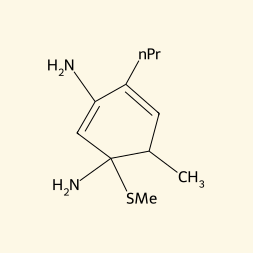 CCCC1=CC(C)C(N)(SC)C=C1N